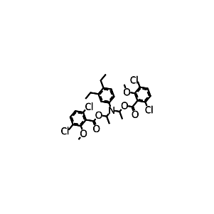 CCc1ccc(N(C(C)OC(=O)c2c(Cl)ccc(Cl)c2OC)C(C)OC(=O)c2c(Cl)ccc(Cl)c2OC)cc1CC